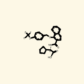 O=C(N[C@H](C(=O)O)C1CCCC1)c1ccc2ccccc2c1OCc1ccc(SC(F)(F)F)cc1